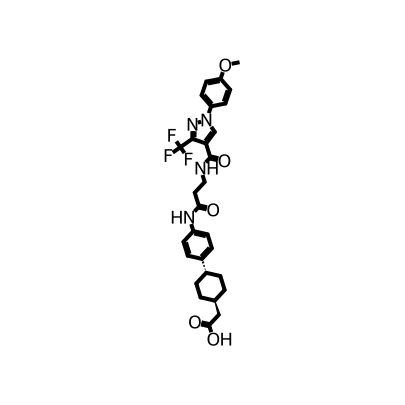 COc1ccc(-n2cc(C(=O)NCCC(=O)Nc3ccc([C@H]4CC[C@H](CC(=O)O)CC4)cc3)c(C(F)(F)F)n2)cc1